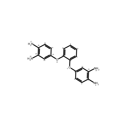 Nc1ccc(Oc2ccccc2Oc2ccc(N)c(N)c2)cc1N